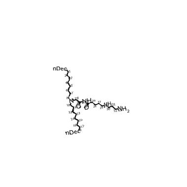 CCCCCCCCCCCCCCCCCCN(CCCCCCCCCCCCCCCCCC)CC(=O)NC(=O)CCCCNCCCN